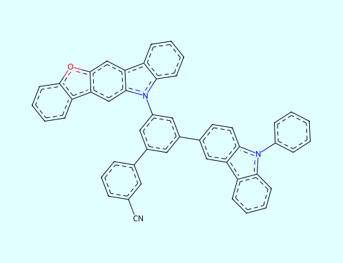 N#Cc1cccc(-c2cc(-c3ccc4c(c3)c3ccccc3n4-c3ccccc3)cc(-n3c4ccccc4c4cc5oc6ccccc6c5cc43)c2)c1